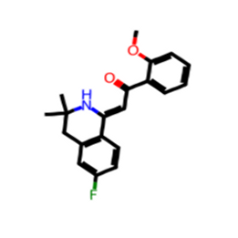 COc1ccccc1C(=O)C=C1NC(C)(C)Cc2cc(F)ccc21